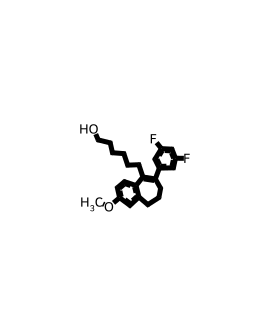 COc1ccc2c(c1)CCCC(c1cc(F)cc(F)c1)=C2CCCCCCO